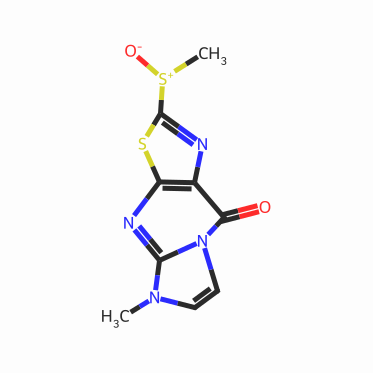 Cn1ccn2c(=O)c3nc([S+](C)[O-])sc3nc12